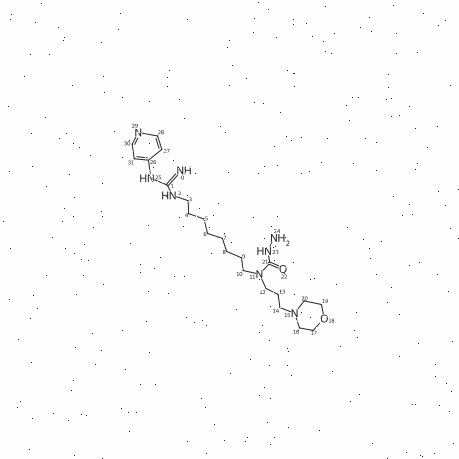 N=C(NCCCCCCCCN(CCCN1CCOCC1)C(=O)NN)Nc1ccncc1